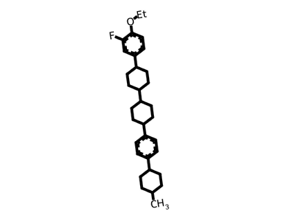 CCOc1ccc(C2CCC(C3CCC(c4ccc(C5CCC(C)CC5)cc4)CC3)CC2)cc1F